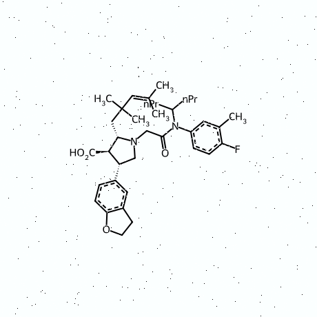 CCCC(CCC)N(C(=O)CN1C[C@H](c2ccc3c(c2)CCO3)[C@@H](C(=O)O)[C@@H]1CC(C)(C)C=C(C)C)c1ccc(F)c(C)c1